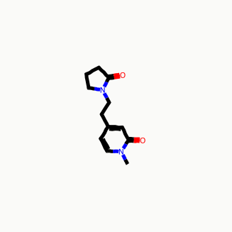 Cn1ccc(CCN2CCCC2=O)cc1=O